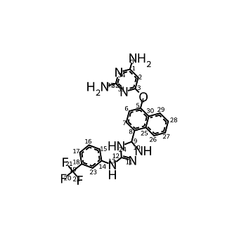 Nc1cc(Oc2ccc(C3NN=C(Nc4cccc(C(F)(F)F)c4)N3)c3ccccc23)nc(N)n1